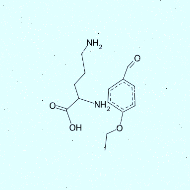 CCOc1ccc(C=O)cc1.NCCCC(N)C(=O)O